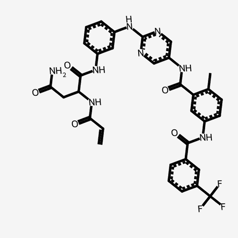 C=CC(=O)NC(CC(N)=O)C(=O)Nc1cccc(Nc2ncc(NC(=O)c3cc(NC(=O)c4cccc(C(F)(F)F)c4)ccc3C)cn2)c1